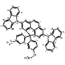 CCCCCCCCOc1ccc(C2(c3ccc(C)cc3)c3cc(-n4c5ccccc5c5ccccc54)cc4ccc5cc(-n6c7ccccc7c7ccccc76)cc2c5c34)cc1